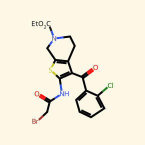 CCOC(=O)N1CCc2c(sc(NC(=O)CBr)c2C(=O)c2ccccc2Cl)C1